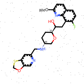 COc1ccc2ccc(F)c(CC(O)[C@@H]3CC[C@@H](NCc4cc5c(cn4)OCS5)CO3)c2n1